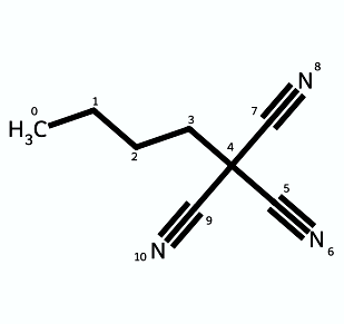 CCCCC(C#N)(C#N)C#N